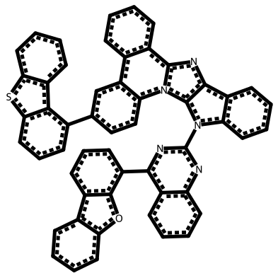 c1ccc2c(-c3cccc4c3oc3ccccc34)nc(-n3c4ccccc4c4nc5c6ccccc6c6cc(-c7cccc8sc9ccccc9c78)ccc6n5c43)nc2c1